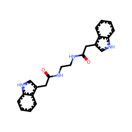 O=C(Cc1c[nH]c2ccccc12)NCCNC(=O)Cc1c[nH]c2ccccc12